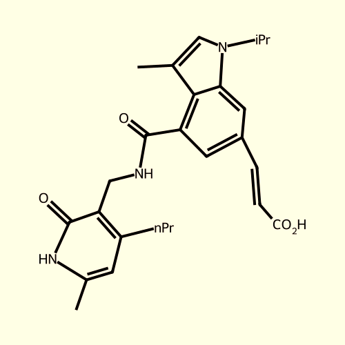 CCCc1cc(C)[nH]c(=O)c1CNC(=O)c1cc(/C=C/C(=O)O)cc2c1c(C)cn2C(C)C